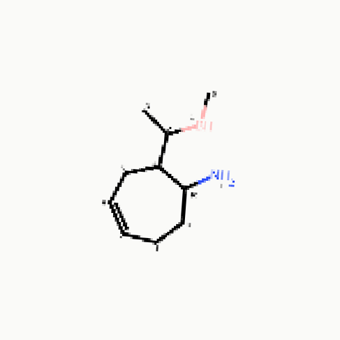 CBC(C)C1CC=CCCC1N